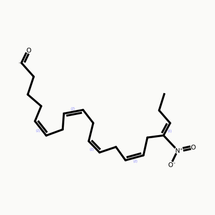 CC/C=C(\C/C=C\C/C=C\C/C=C\C/C=C\CCC[C]=O)[N+](=O)[O-]